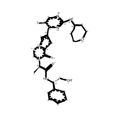 C[C@H](C(=O)N[C@H](CO)c1ccccc1)n1cnn2cc(-c3nc(NC4CCOCC4)ncc3Cl)cc2c1=O